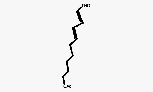 CC(=O)OCCCCCC=CC=CC=O